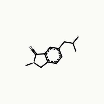 CC(C)Cc1ccc2c(c1)C(=O)N(C)C2